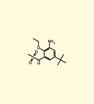 CCOc1c(N)cc(C(C)(C)C)cc1NS(C)(=O)=O